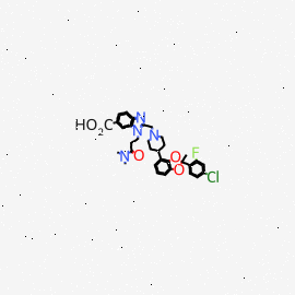 CN(C)C(=O)CCn1c(CN2CCC(c3cccc4c3OC(C)(c3ccc(Cl)cc3F)O4)CC2)nc2ccc(C(=O)O)cc21